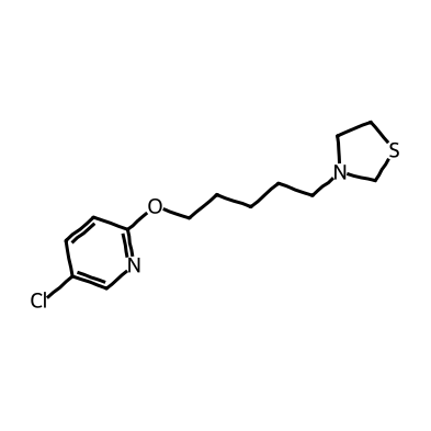 Clc1ccc(OCCCCCN2CCSC2)nc1